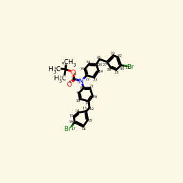 CC(C)(C)OC(=O)N(c1ccc(Cc2ccc(Br)cc2)cc1)c1ccc(Cc2ccc(Br)cc2)cc1